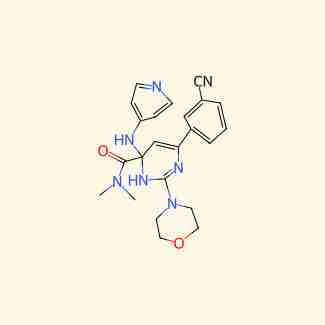 CN(C)C(=O)C1(Nc2ccncc2)C=C(c2cccc(C#N)c2)N=C(N2CCOCC2)N1